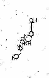 CN1C(=O)[C@H](NC(=O)n2cc(Cc3ccncc3)cn2)CCc2ccc(C#CC(C)(C)O)cc21